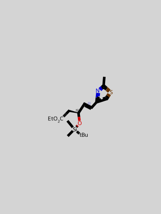 CCOC(=O)C[C@@H](/C=C/c1csc(C)n1)O[Si](C)(C)C(C)(C)C